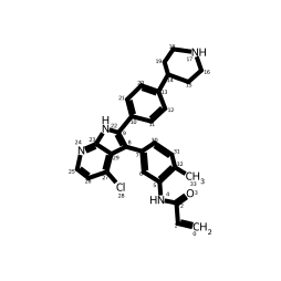 C=CC(=O)Nc1cc(-c2c(-c3ccc(C4CCNCC4)cc3)[nH]c3nccc(Cl)c23)ccc1C